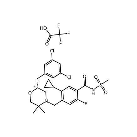 CC1(C)CO[C@H](Cc2cc(Cl)cc(Cl)c2)CN1Cc1cc(F)c(C(=O)NS(C)(=O)=O)cc1C1CC1.O=C(O)C(F)(F)F